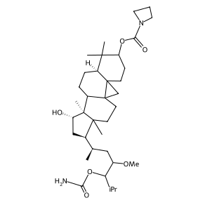 COC(C[C@@H](C)[C@H]1C[C@H](O)[C@@]2(C)C3CC[C@H]4C(C)(C)C(OC(=O)N5CCC5)CCC45CC35CCC12C)C(OC(N)=O)C(C)C